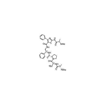 CNC(C)C(=O)Nc1nc(-c2ccccc2)c(C(=O)NC[C@@H](NC(=O)[C@@H]2CCCN2C(=O)[C@@H](NC(=O)[C@H](C)NC)C(C)(C)C)c2ccccc2)s1